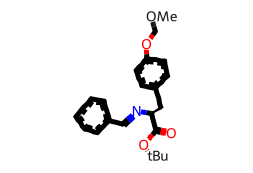 COCOc1ccc(C[C@H](/N=C/c2ccccc2)C(=O)OC(C)(C)C)cc1